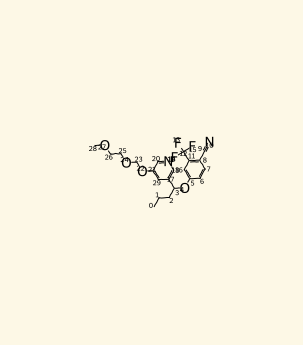 CCCC(Oc1ccc(C#N)c(C(F)(F)F)c1)c1cncc(OCOCCOC)c1